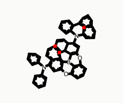 C1=CC2C(N(c3ccccc3)c3ccccc3-c3ccccc3)=CC3=C(B4c5c(cccc5Oc5cc(N(c6ccccc6)c6ccccc6)c6ccccc6c54)O3)C2C=C1